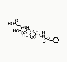 O=C(O)CCC(NC(=O)CC(NC(=O)CCNC(=O)OCc1ccccc1)C(=O)O)C(=O)O